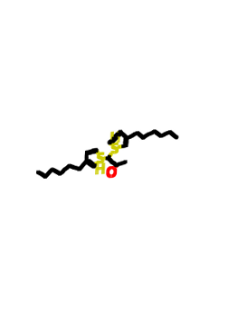 CCCCCCC1=C[SH](C(C(C)=O)[SH]2C=CC(CCCCCC)=C2)C=C1